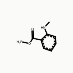 CNc1ccccc1C(=O)OP